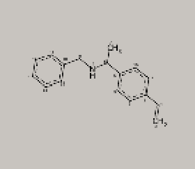 C=Cc1ccc(C(C)NCc2ccccc2)cc1